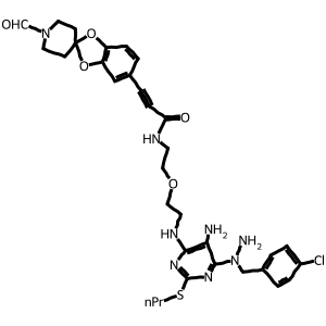 CCCSc1nc(NCCOCCNC(=O)C#Cc2ccc3c(c2)OC2(CCN(C=O)CC2)O3)c(N)c(N(N)Cc2ccc(Cl)cc2)n1